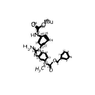 CN(C(=O)OCc1ccccc1)c1ccc2c(c1)nc(N)n2-c1cccc(NC(=O)OC(C)(C)C)c1